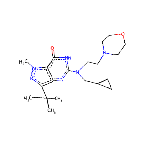 Cn1nc(C(C)(C)C)c2nc(N(CCN3CCOCC3)CC3CC3)[nH]c(=O)c21